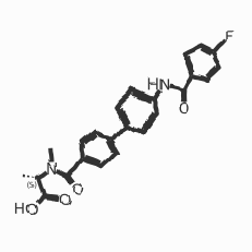 C[C@@H](C(=O)O)N(C)C(=O)c1ccc(-c2ccc(NC(=O)c3ccc(F)cc3)cc2)cc1